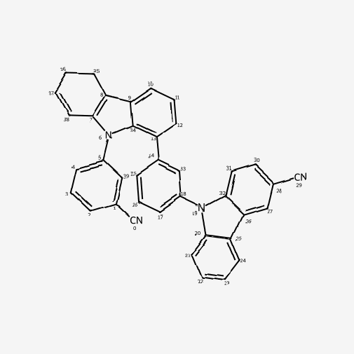 N#Cc1cccc(-n2c3c(c4cccc(-c5cccc(-n6c7ccccc7c7cc(C#N)ccc76)c5)c42)CCC=C3)c1